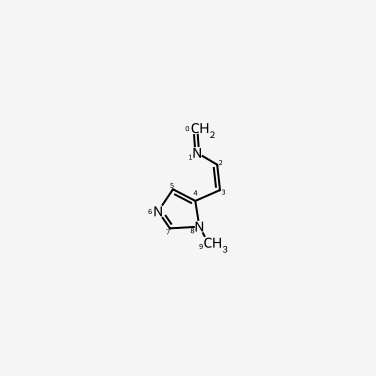 C=N/C=C\c1cncn1C